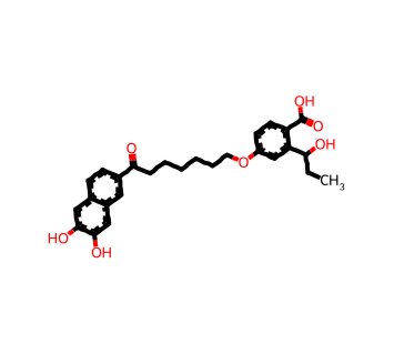 CCC(O)c1cc(OCCCCCCC(=O)c2ccc3cc(O)c(O)cc3c2)ccc1C(=O)O